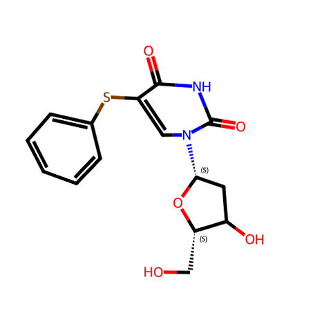 O=c1[nH]c(=O)n([C@@H]2CC(O)[C@H](CO)O2)cc1Sc1ccccc1